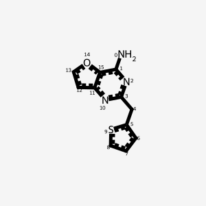 Nc1nc(Cc2cccs2)nc2ccoc12